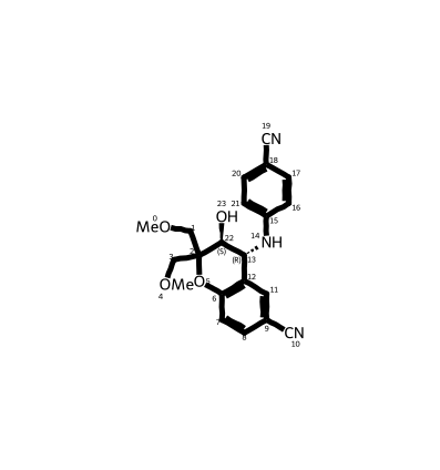 COCC1(COC)Oc2ccc(C#N)cc2[C@@H](Nc2ccc(C#N)cc2)[C@@H]1O